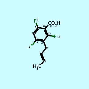 CC=CCc1c(F)cc(F)c(C(=O)O)c1F